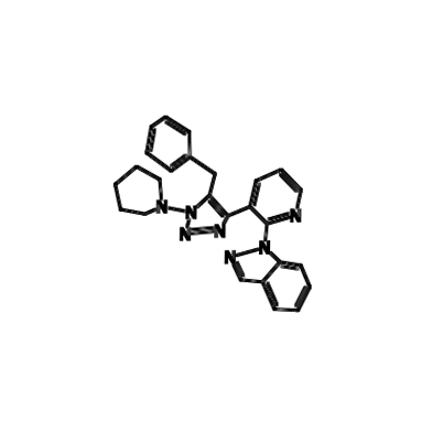 c1ccc(Cc2c(-c3cccnc3-n3ncc4ccccc43)nnn2N2CCCCC2)cc1